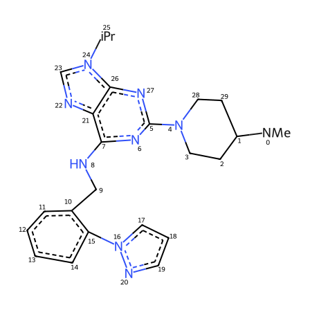 CNC1CCN(c2nc(NCc3ccccc3-n3cccn3)c3ncn(C(C)C)c3n2)CC1